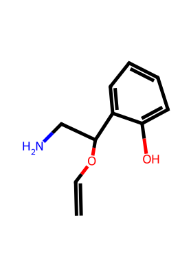 C=COC(CN)c1ccccc1O